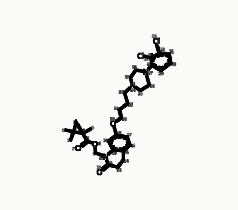 CC1(C)CC1(C)C(=O)OCN1C(=O)CCc2ccc(OCCCCN3CCN(c4cccc(Cl)c4Cl)CC3)cc21